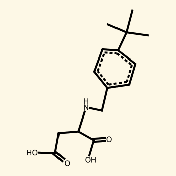 CC(C)(C)c1ccc(CNC(CC(=O)O)C(=O)O)cc1